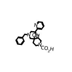 O=C(CN(Cc1ccccc1)CC1(O)CCN(C(=O)O)CC1)c1ccccn1